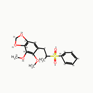 COc1c(CC(C)S(=O)(=O)c2ccccc2)cc2c(c1OC)OCO2